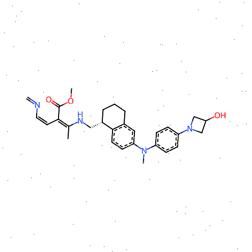 C=N/C=C\C(C(=O)OC)=C(/C)NC[C@@H]1CCCc2cc(N(C)c3ccc(N4CC(O)C4)cc3)ccc21